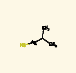 C[CH](C)[Ag][SH]